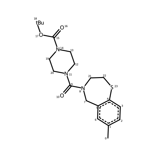 Cc1ccc2c(c1)CN(C(=O)N1CCN(C(=O)OC(C)(C)C)CC1)CCS2